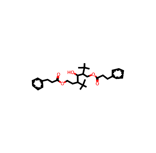 CC(C)(C)C(CCOC(=O)CCc1ccccc1)C(O)C(COC(=O)CCc1ccccc1)C(C)(C)C